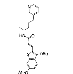 CCCCc1c(/C=C/C(=O)NC(C)CCCc2cccnc2)sc2cc(OC)ccc12